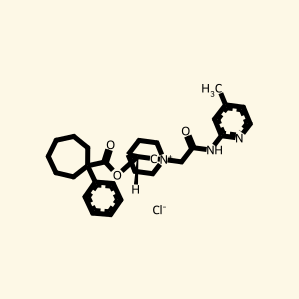 Cc1ccnc(NC(=O)C[N+]23CCC(CC2)[C@@H](OC(=O)C2(c4ccccc4)CCCCCC2)C3)c1.[Cl-]